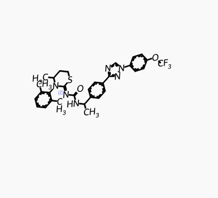 Cc1cccc(C)c1N1/C(=N/C(=O)NC(C)c2ccc(-c3ncn(-c4ccc(OC(F)(F)F)cc4)n3)cc2)SCCC1C